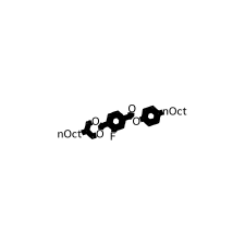 CCCCCCCCc1ccc(OC(=O)c2ccc(C3OCC(CCCCCCCC)CO3)c(F)c2)cc1